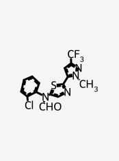 Cn1nc(C(F)(F)F)cc1-c1ncc(N(C=O)c2ccccc2Cl)s1